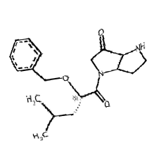 CC(C)C[C@H](OCc1ccccc1)C(=O)N1CC(=O)C2NCCC21